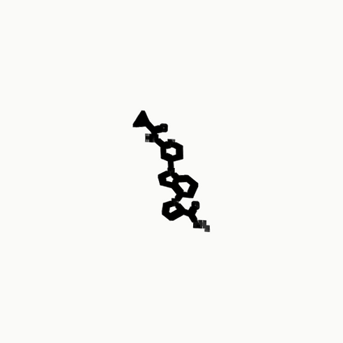 NC(=O)c1cccn1-c1cccc2c1ccn2-c1ccnc(NC(=O)C2CC2)c1